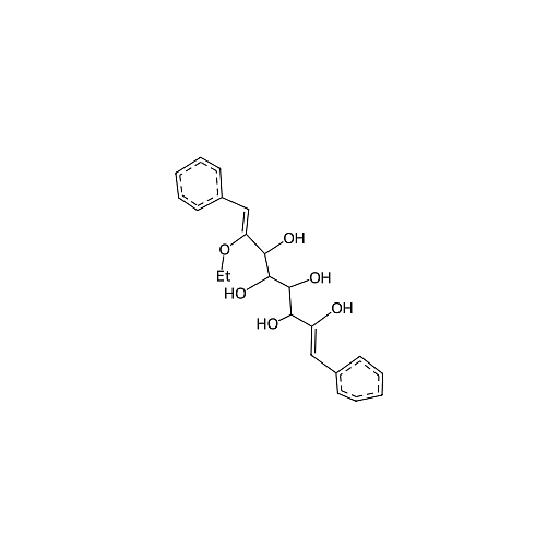 CCOC(=Cc1ccccc1)C(O)C(O)C(O)C(O)C(O)=Cc1ccccc1